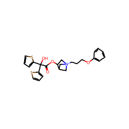 O=C(OC1C[N+]2(CCCOc3ccccc3)CC1C2)C(O)(c1cccs1)c1cccs1